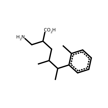 Cc1ccccc1C(C)C(C)CC(CN)C(=O)O